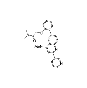 CNc1nc(-c2cccnc2)nc2ccc(-c3ccccc3OCC(=O)N(C)C)cc12